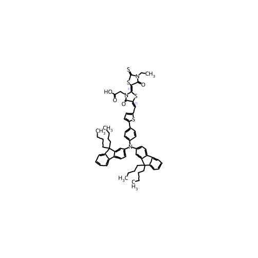 CCCCC1(CCCC)c2ccccc2-c2ccc(N(c3ccc(-c4ccc(/C=c5/s/c(=C6/SC(=S)N(CC)C6=O)n(CC(=O)O)c5=O)s4)cc3)c3ccc4c(c3)C(CCCC)(CCCC)c3ccccc3-4)cc21